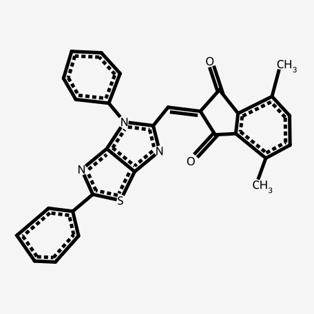 Cc1ccc(C)c2c1C(=O)C(=Cc1nc3sc(-c4ccccc4)nc3n1-c1ccccc1)C2=O